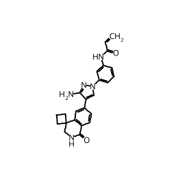 C=CC(=O)Nc1cccc(-n2cc(-c3ccc4c(c3)C3(CCC3)CNC4=O)c(N)n2)c1